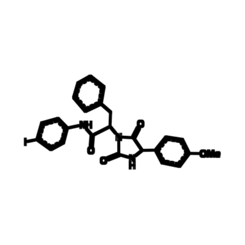 COc1ccc(C2NC(=O)N(C(Cc3ccccc3)C(=O)Nc3ccc(I)cc3)C2=O)cc1